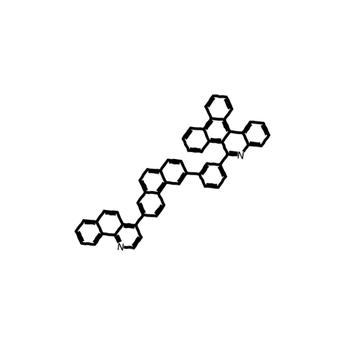 c1cc(-c2ccc3ccc4cc(-c5ccnc6c5ccc5ccccc56)ccc4c3c2)cc(-c2nc3ccccc3c3c4ccccc4c4ccccc4c23)c1